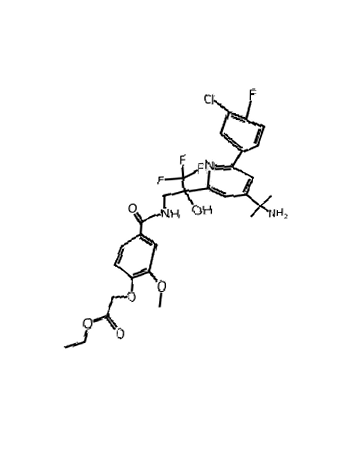 CCOC(=O)COc1ccc(C(=O)NCC(O)(c2cc(C(C)(C)N)cc(-c3ccc(F)c(Cl)c3)n2)C(F)(F)F)cc1OC